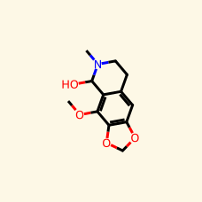 COc1c2c(cc3c1C(O)N(C)CC3)OCO2